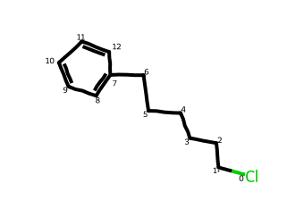 Cl[CH]CCCCCc1ccccc1